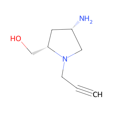 C#CCN1C[C@@H](N)C[C@H]1CO